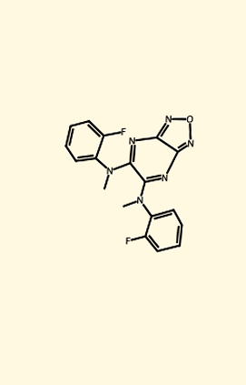 CN(c1ccccc1F)c1nc2nonc2nc1N(C)c1ccccc1F